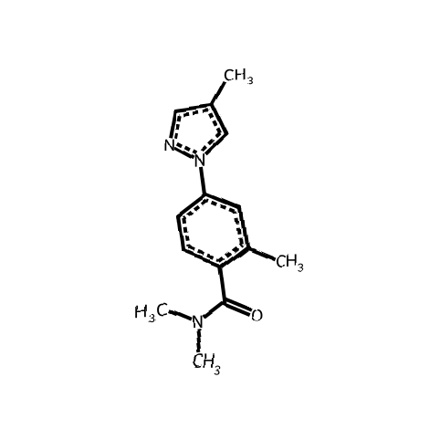 Cc1cnn(-c2ccc(C(=O)N(C)C)c(C)c2)c1